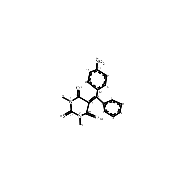 CN1C(=O)C(=C(c2ccccc2)c2ccc([N+](=O)[O-])cc2)C(=O)N(C)C1=S